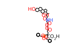 CC(CCC(=O)NCC(=O)OCOC(=O)CCC(CP(=O)(OCc1ccccc1)OCc1ccccc1)C(=O)O)C1CCC2C3CCC4C[C@H](O)CC[C@]4(C)C3C[C@H](O)[C@]12C